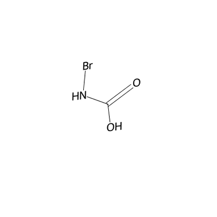 O=C(O)NBr